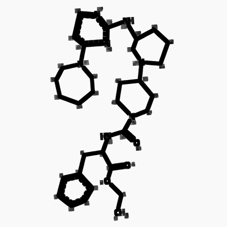 CCOC(=O)C(Cc1ccccc1)NC(=O)N1CCC(N2CCCC(Nc3nccc(N4CCCCCC4)n3)C2)CC1